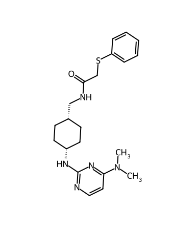 CN(C)c1ccnc(N[C@H]2CC[C@@H](CNC(=O)CSc3ccccc3)CC2)n1